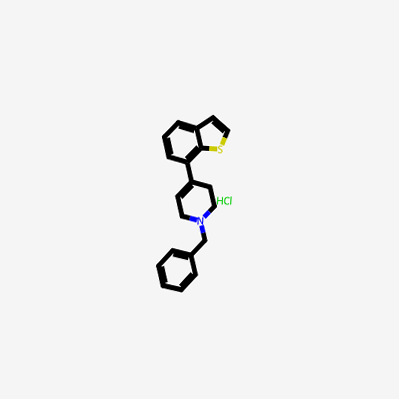 C1=C(c2cccc3ccsc23)CCN(Cc2ccccc2)C1.Cl